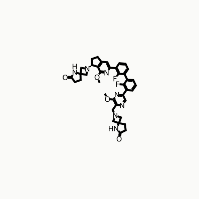 COc1nc(-c2cccc(-c3cccc(-c4cc5c(c(OC)n4)[C@@H](N4CC6(CCC(=O)N6)C4)CC5)c3F)c2F)cnc1CN1CC2(CCC(=O)N2)C1